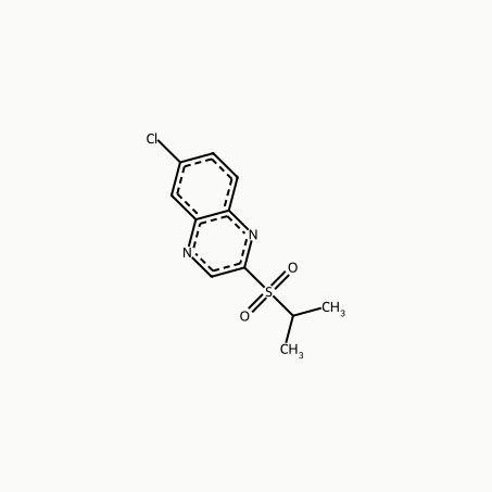 CC(C)S(=O)(=O)c1cnc2cc(Cl)ccc2n1